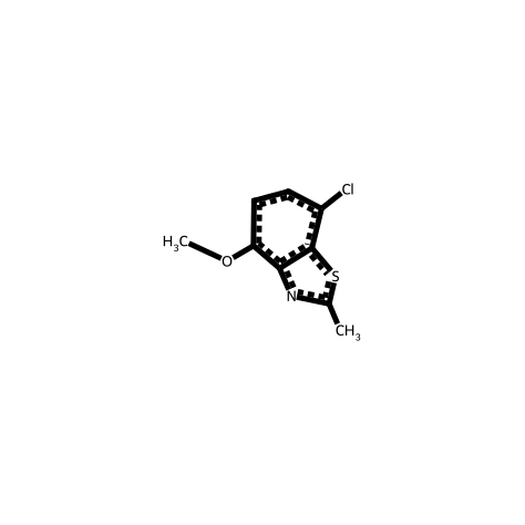 COc1ccc(Cl)c2sc(C)nc12